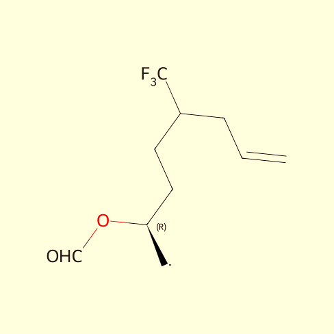 [CH2][C@H](CCC(CC=C)C(F)(F)F)OC=O